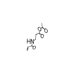 C=CC(=O)NCCC(=O)OC(C)=O